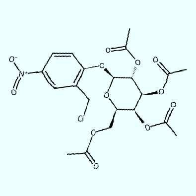 CC(=O)OC[C@H]1O[C@@H](Oc2ccc([N+](=O)[O-])cc2CCl)[C@H](OC(C)=O)[C@@H](OC(C)=O)[C@H]1OC(C)=O